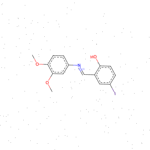 COc1ccc(/N=C/c2cc(I)ccc2O)cc1OC